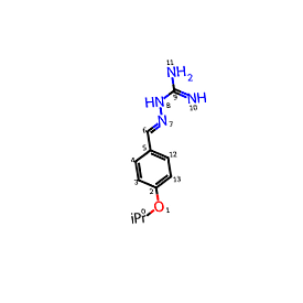 CC(C)Oc1ccc(/C=N/NC(=N)N)cc1